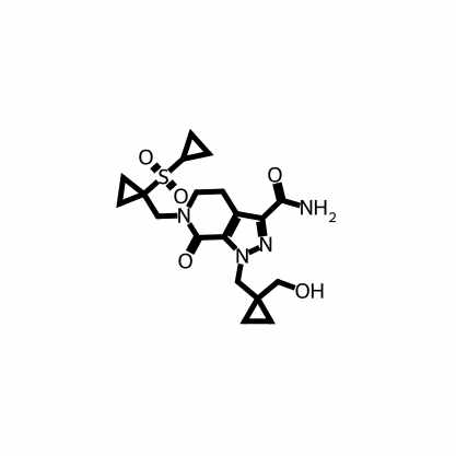 NC(=O)c1nn(CC2(CO)CC2)c2c1CCN(CC1(S(=O)(=O)C3CC3)CC1)C2=O